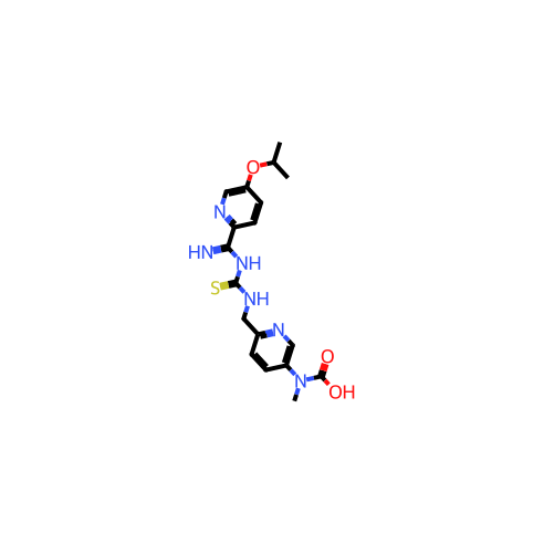 CC(C)Oc1ccc(C(=N)NC(=S)NCc2ccc(N(C)C(=O)O)cn2)nc1